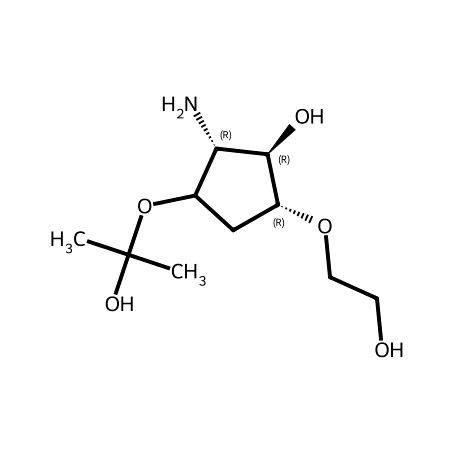 CC(C)(O)OC1C[C@@H](OCCO)[C@H](O)[C@H]1N